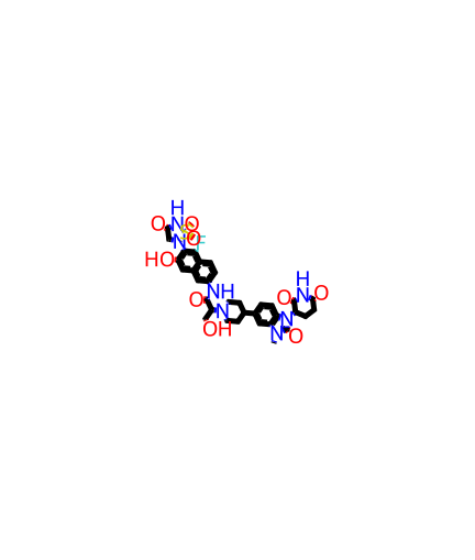 Cn1c(=O)n(C2CCC(=O)NC2=O)c2ccc(C3CCN(C(CO)C(=O)Nc4ccc5c(F)c(N6CC(=O)NS6(=O)=O)c(O)cc5c4)CC3)cc21